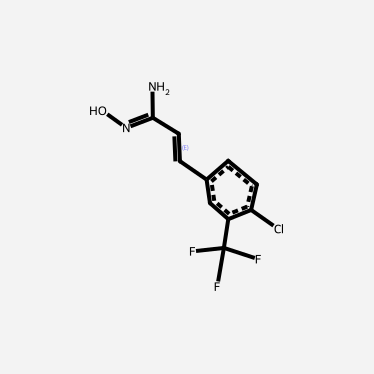 NC(/C=C/c1ccc(Cl)c(C(F)(F)F)c1)=NO